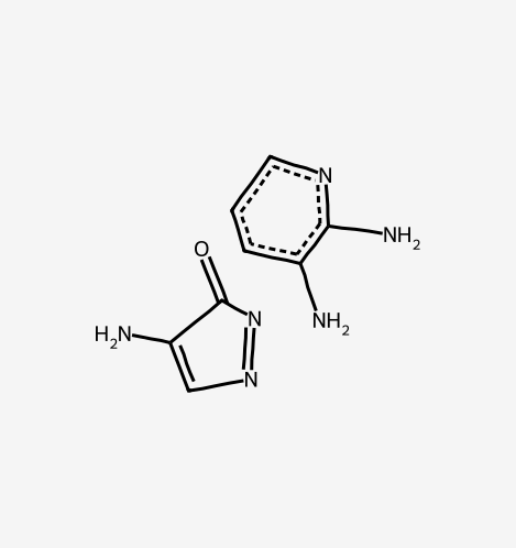 NC1=CN=NC1=O.Nc1cccnc1N